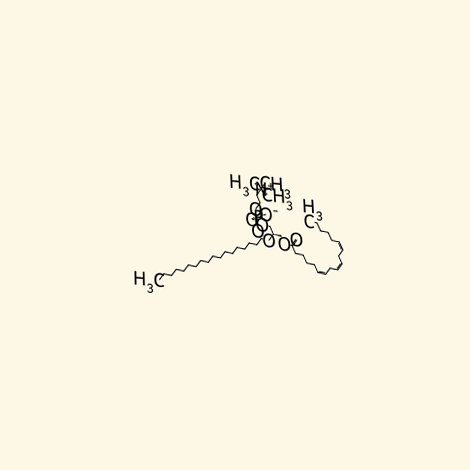 CCCCC/C=C\C/C=C\C/C=C\CCCCC(=O)OC[C@H](COP(=O)([O-])OCC[N+](C)(C)C)OC(=O)CCCCCCCCCCCCCCCCC